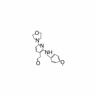 COc1ccc(CNc2nc(N3CCOCC3)ccc2CC=O)cc1